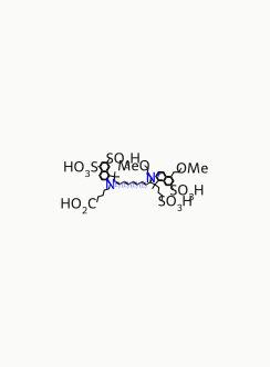 COCCc1cc(S(=O)(=O)O)cc2c3c(ccc12)[N+](CCOC)=C(/C=C/C=C/C=C/C=C1/N(CCCCCC(=O)O)c2ccc4c(S(=O)(=O)O)cc(S(=O)(=O)O)cc4c2C1(C)C)C3(C)CCCS(=O)(=O)O